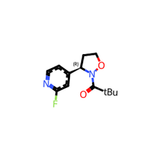 CC(C)(C)C(=O)N1OCC[C@@H]1c1ccnc(F)c1